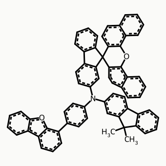 CC1(C)c2ccccc2-c2ccc(N(c3ccc(-c4cccc5c4oc4ccccc45)cc3)c3ccc4c(c3)C3(c5ccccc5-4)c4ccc5ccccc5c4Oc4c3ccc3ccccc43)cc21